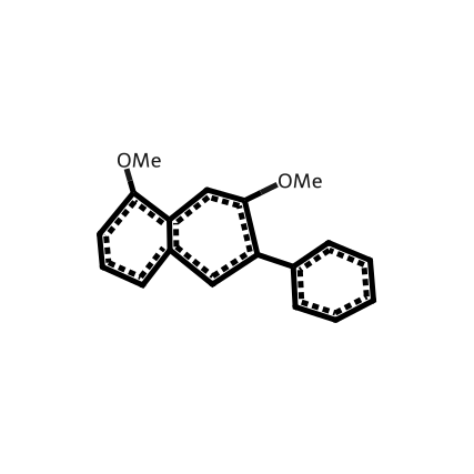 COc1cc2c(OC)cccc2cc1-c1ccccc1